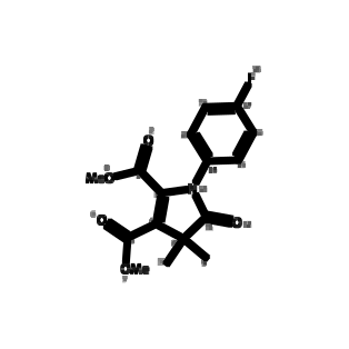 COC(=O)C1=C(C(=O)OC)C(C)(C)C(=O)N1c1ccc(F)cc1